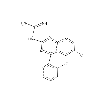 N=C(N)Nc1nc(-c2ccccc2Cl)c2cc(Cl)ccc2n1